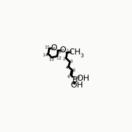 CC(CCCC=CB(O)O)OC1CCCCO1